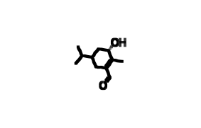 CC1=C(C=O)CC(C(C)C)C[C@@H]1O